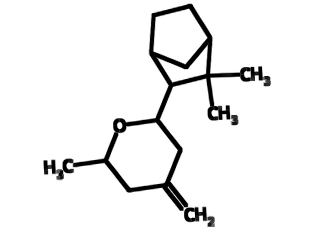 C=C1CC(C)OC(C2C3CCC(C3)C2(C)C)C1